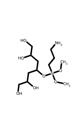 CO[Si](CCCN)(OC)OC(CC(O)CO)CC(O)CO